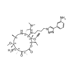 B[C@@H]1[C@@H](C)C(=O)[C@@H](C)C(=O)O[C@H](CC)[C@@](C)(OC#C)[C@H](NCCCCn2cc(-c3cccc(N)c3)nn2)[C@@H](CCN(C)C)NC[C@H](C)C[C@@]1(C)OC